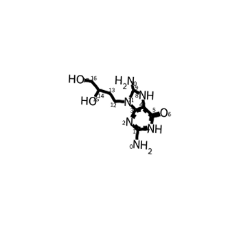 Nc1nc2c(c(=O)[nH]1)NC(N)N2CCC(O)CO